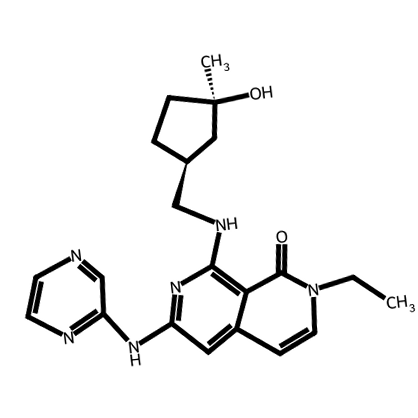 CCn1ccc2cc(Nc3cnccn3)nc(NC[C@H]3CC[C@@](C)(O)C3)c2c1=O